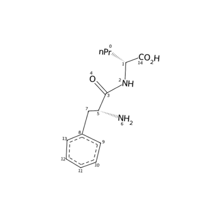 CCC[C@@H](NC(=O)[C@H](N)Cc1ccccc1)C(=O)O